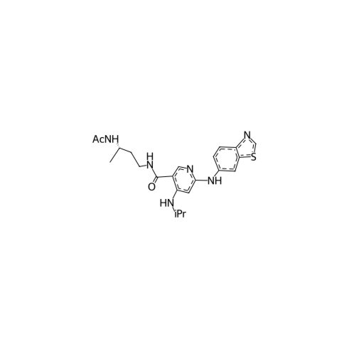 CC(=O)N[C@@H](C)CCNC(=O)c1cnc(Nc2ccc3ncsc3c2)cc1NC(C)C